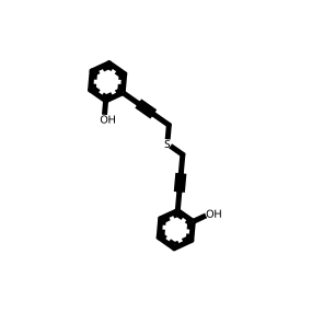 Oc1ccccc1C#CCSCC#Cc1ccccc1O